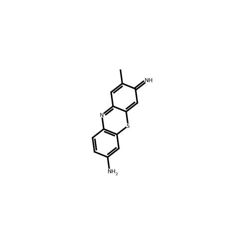 Cc1cc2nc3ccc(N)cc3sc-2cc1=N